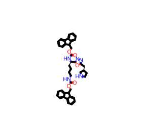 O=C(NCCCC[C@@H](NC(=O)OCC1c2ccccc2-c2ccccc21)c1nnc(C[C@H]2CCNC2)o1)OCC1c2ccccc2-c2ccccc21